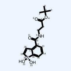 CC(C)(C)OC(=O)CCNC(=O)c1cccc2c1C=CS2(O)O